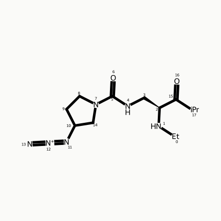 CCN[C@@H](CNC(=O)N1CCC(N=[N+]=[N-])C1)C(=O)C(C)C